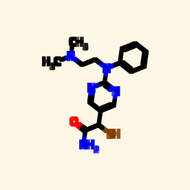 CN(C)CCN(c1ccccc1)c1ncc(C(S)C(N)=O)cn1